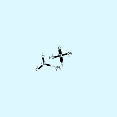 N.O=S(=O)(O)O.[Cl][Al]([Cl])[Cl]